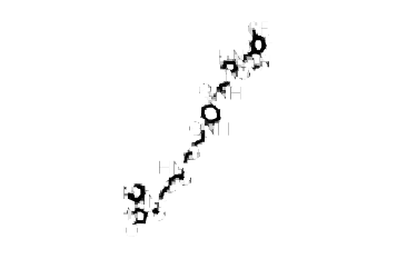 CN1C(=O)C[C@H](C(=O)NCCOCC(=O)NCCOCCC(=O)N[C@H]2CC[C@@H](C(=O)NCCN3CC[C@H](Nc4ncnc5ccc(C(F)(F)F)cc45)C3=O)CC2)[C@H]1c1cccnc1